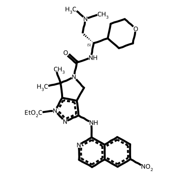 CCOC(=O)n1nc(Nc2nccc3cc([N+](=O)[O-])ccc23)c2c1C(C)(C)N(C(=O)N[C@H](CN(C)C)C1CCOCC1)C2